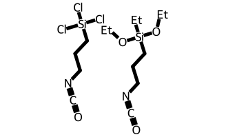 CCO[Si](CC)(CCCN=C=O)OCC.O=C=NCCC[Si](Cl)(Cl)Cl